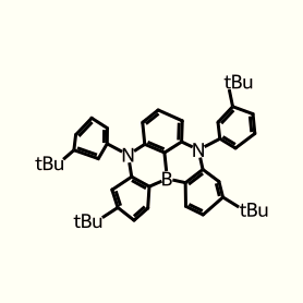 CC(C)(C)c1cccc(N2c3cc(C(C)(C)C)ccc3B3c4ccc(C(C)(C)C)cc4N(c4cccc(C(C)(C)C)c4)c4cccc2c43)c1